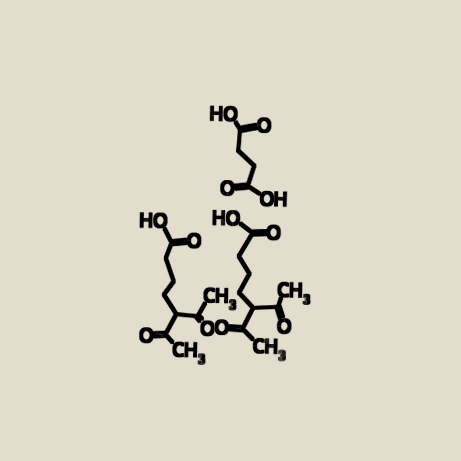 CC(=O)C(CCCC(=O)O)C(C)=O.CC(=O)C(CCCC(=O)O)C(C)=O.O=C(O)CCC(=O)O